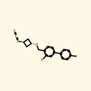 Fc1ccc(-c2ccc(CO[C@H]3C[C@H](N=C=S)C3)c(F)c2)cc1